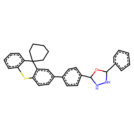 c1ccc(C2NNC(c3ccc(-c4ccc5c(c4)C4(CCCCC4)c4ccccc4S5)cc3)O2)cc1